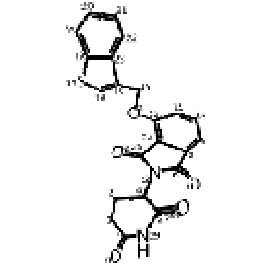 O=C1CCC(N2C(=O)c3cccc(OCc4csc5ccccc45)c3C2=O)C(=O)N1